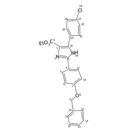 CCOC(=O)c1nc(-c2ccc(OCc3ccccc3)cc2)[nH]c1-c1ccc(Cl)cc1